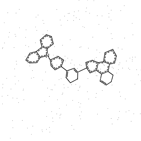 C1=Cc2c(c3ccccc3c3ccc(C4=CC(c5ccc(-n6c7ccccc7c7ccccc76)cc5)=CCC4)cc23)CC1